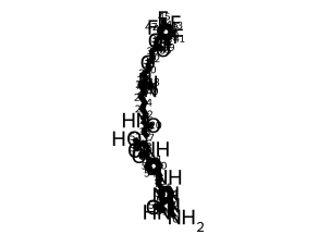 Nc1nc2ncc(CNc3ccc(C(=O)N[C@@H](CCC(=O)NCCCCc4cn(CCOCCC(=O)Oc5c(F)c(F)c(F)c(F)c5F)nn4)C(=O)O)cc3)nc2c(=O)[nH]1